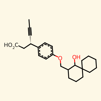 CC#C[C@@H](CC(=O)O)c1ccc(OCC2CCCC3(CCCCC3)C2O)cc1